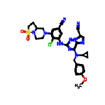 COc1ccc(CN(c2nc(Nc3cc(C#N)cc(N4CCN5C(CCS5(=O)=O)C4)c3Cl)nn3c(C#N)cnc23)C2CC2)cc1